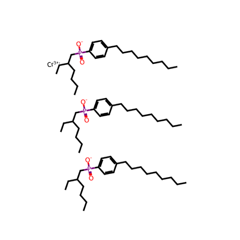 CCCCCCCCCc1ccc(P(=O)([O-])CC(CC)CCCC)cc1.CCCCCCCCCc1ccc(P(=O)([O-])CC(CC)CCCC)cc1.CCCCCCCCCc1ccc(P(=O)([O-])CC(CC)CCCC)cc1.[Cr+3]